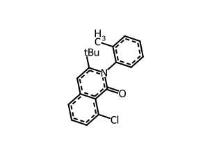 Cc1ccccc1-n1c(C(C)(C)C)cc2cccc(Cl)c2c1=O